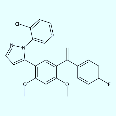 C=C(c1ccc(F)cc1)c1cc(-c2ccnn2-c2ccccc2Cl)c(OC)cc1OC